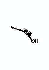 CCCCCCCCCCCCCCCc1cc(OC[C@H](COCCCCCCCO)Oc2cc(C)on2)no1